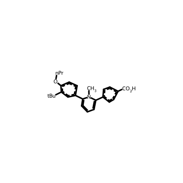 CCCOc1ccc(C2=C=CC=C(c3ccc(C(=O)O)cc3)N2C)cc1C(C)(C)C